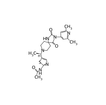 CC(=O)Nc1ncc([C@@H](C)N2CCC3(CC2)NC(=O)N(c2cc(C)nc(C)c2)C3=O)s1